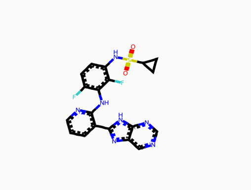 O=S(=O)(Nc1ccc(F)c(Nc2ncccc2-c2nc3cncnc3[nH]2)c1F)C1CC1